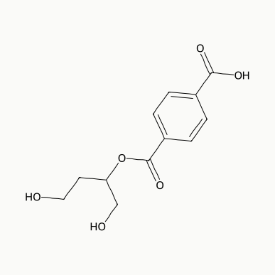 O=C(O)c1ccc(C(=O)OC(CO)CCO)cc1